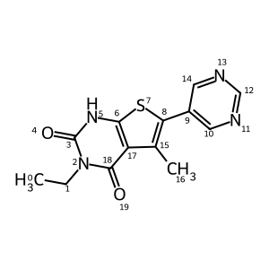 CCn1c(=O)[nH]c2sc(-c3cncnc3)c(C)c2c1=O